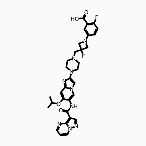 CC(C)Oc1cc2nc(N3CCN(CC4(F)CN(c5ccc(F)c(C(=O)O)c5)C4)CC3)cn2cc1NC(=O)c1cnn2cccnc12